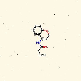 COCC(=O)N[C@@H]1CCOc2ccccc21